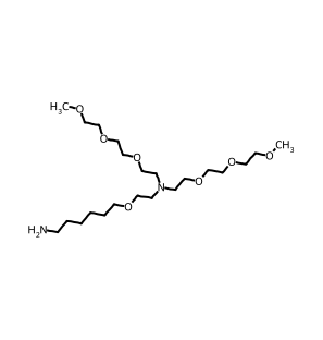 COCCOCCOCCN(CCOCCCCCCN)CCOCCOCCOC